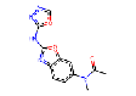 CC(=O)N(C)c1ccc2nc(Nc3nnco3)oc2c1